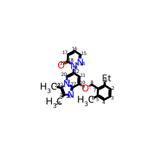 CCc1cccc(C)c1COc1cc(-n2ncccc2=O)cn2c(C)c(C)nc12